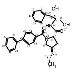 CON=C1C[C@@H](C(=O)N[C@@H](CO)[C@@H](O)c2ccccc2)N(C(=O)c2ccc(-c3ccccc3)cc2)C1